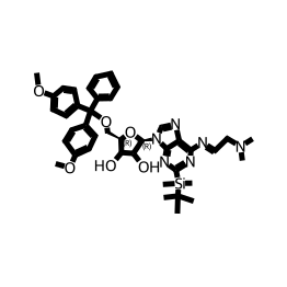 COc1ccc(C(OC[C@H]2O[C@@H](n3cnc4c(N=CCN(C)C)nc([Si](C)(C)C(C)(C)C)nc43)C(O)C2O)(c2ccccc2)c2ccc(OC)cc2)cc1